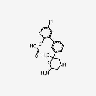 CC1(c2cccc(-c3cc(Cl)cnc3Cl)c2)CNCC(N)O1.O=CO